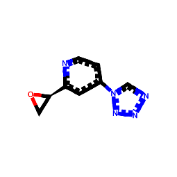 c1cc(-n2cnnn2)cc([C@H]2CO2)n1